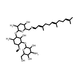 C=NC1CC(N)C(OC2OC(C/N=C/C=C(\C)CC/C=C(\C)CCC=C(C)C)C(O)CC2N)C(O)C1OC1OC(CO)C(O)C(N)C1O